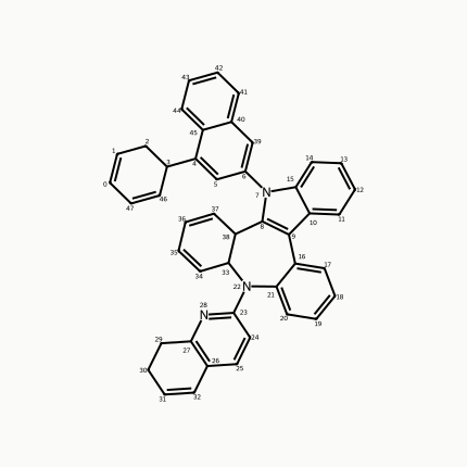 C1=CCC(c2cc(-n3c4c(c5ccccc53)-c3ccccc3N(c3ccc5c(n3)CCC=C5)C3C=CC=CC43)cc3ccccc23)C=C1